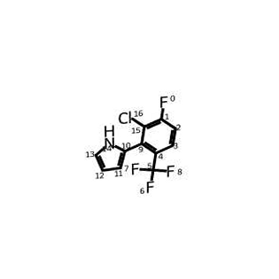 Fc1ccc(C(F)(F)F)c(-c2ccc[nH]2)c1Cl